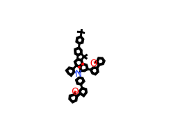 CC(C)(C)c1ccc(-c2ccc3c(c2)C(C)(C)c2ccc(-c4ccccc4N(c4ccc(-c5cccc6c5oc5ccccc56)cc4)c4cccc(-c5cccc6c5oc5ccccc56)c4)cc2-3)cc1